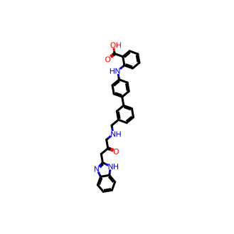 O=C(CNCc1cccc(-c2ccc(Nc3ccccc3C(=O)O)cc2)c1)Cc1nc2ccccc2[nH]1